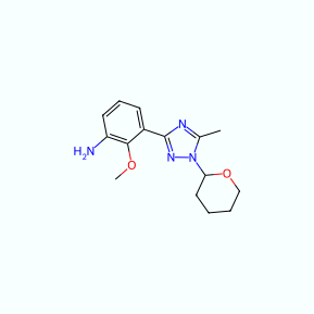 COc1c(N)cccc1-c1nc(C)n(C2CCCCO2)n1